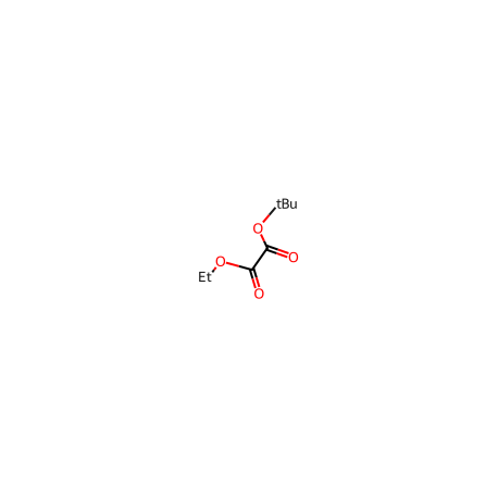 CCOC(=O)C(=O)OC(C)(C)C